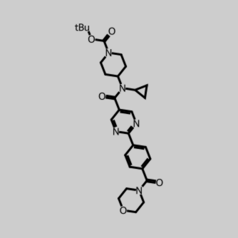 CC(C)(C)OC(=O)N1CCC(N(C(=O)c2cnc(-c3ccc(C(=O)N4CCOCC4)cc3)nc2)C2CC2)CC1